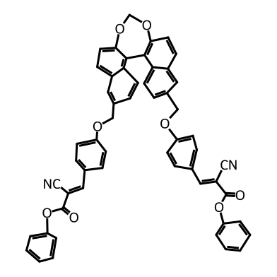 N#C/C(=C\c1ccc(OCc2ccc3c4c(ccc3c2)OCOc2ccc3cc(COc5ccc(/C=C(\C#N)C(=O)Oc6ccccc6)cc5)ccc3c2-4)cc1)C(=O)Oc1ccccc1